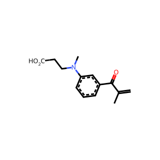 C=C(C)C(=O)c1cccc(N(C)CCC(=O)O)c1